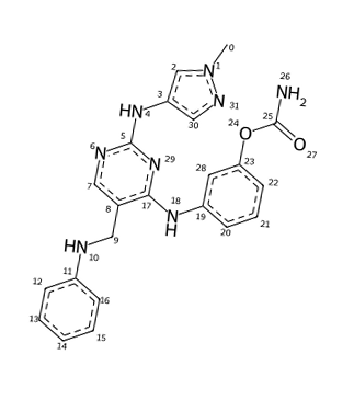 Cn1cc(Nc2ncc(CNc3ccccc3)c(Nc3cccc(OC(N)=O)c3)n2)cn1